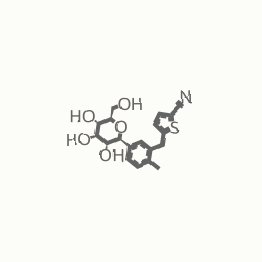 Cc1ccc([C@@H]2O[C@H](CO)[C@@H](O)[C@H](O)[C@H]2O)cc1Cc1ccc(C#N)s1